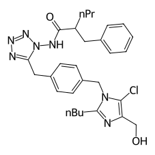 CCCCc1nc(CO)c(Cl)n1Cc1ccc(Cc2nnnn2NC(=O)C(CCC)Cc2ccccc2)cc1